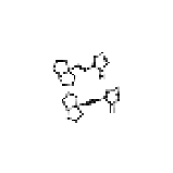 C(#CC12CCCN1CCC2)c1cnc[nH]1.C(=CC12CCCN1CCC2)c1cnc[nH]1